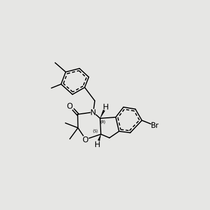 Cc1ccc(CN2C(=O)C(C)(C)O[C@H]3Cc4cc(Br)ccc4[C@H]32)cc1C